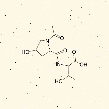 CC(=O)N1CC(O)CC1C(=O)NC(C(=O)O)C(C)O